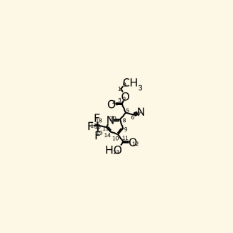 CCOC(=O)C(C#N)c1cc(C(=O)O)cc(C(F)(F)F)n1